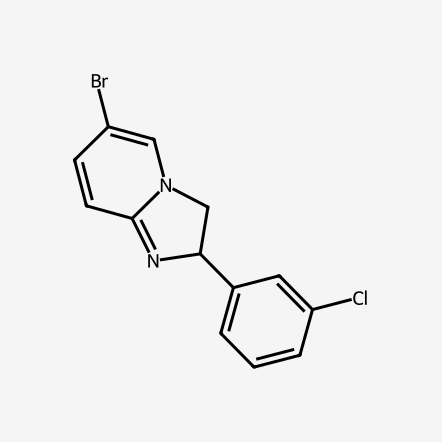 Clc1cccc(C2CN3C=C(Br)C=CC3=N2)c1